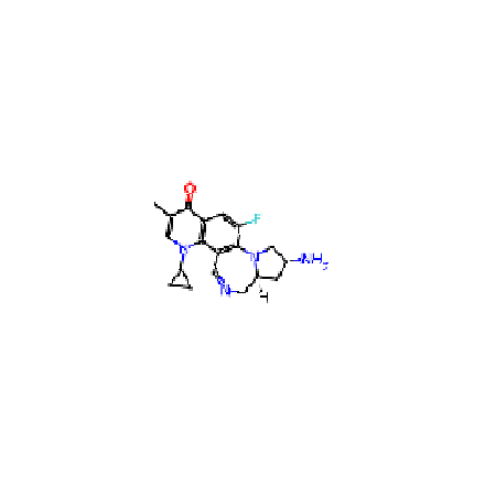 Cc1cn(C2CC2)c2c3c(c(F)cc2c1=O)N1C[C@@H](N)C[C@H]1CN=C3